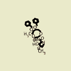 COc1ccnc(C(=O)N[C@H]2COCC[C@H](OCc3ccccc3)[C@@H](OCc3ccccc3)[C@H](C)OC2=O)c1O